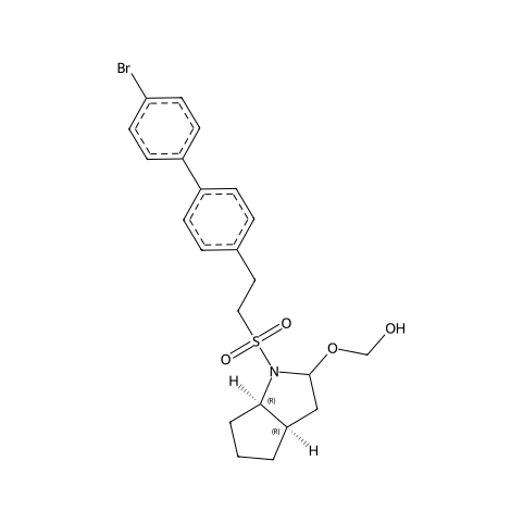 O=S(=O)(CCc1ccc(-c2ccc(Br)cc2)cc1)N1C(OCO)C[C@H]2CCC[C@H]21